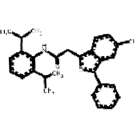 CC(C)c1cccc(C(C)C)c1NC(=O)Cc1oc(-c2ccccc2)c2cc(Cl)ccc12